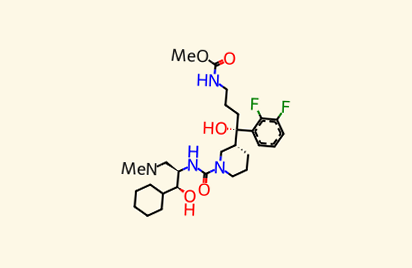 CNC[C@@H](NC(=O)N1CCC[C@@H]([C@@](O)(CCCNC(=O)OC)c2cccc(F)c2F)C1)[C@@H](O)C1CCCCC1